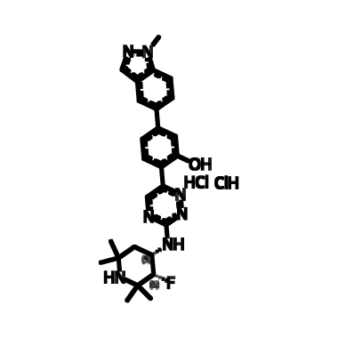 Cl.Cl.Cn1ncc2cc(-c3ccc(-c4cnc(N[C@H]5CC(C)(C)NC(C)(C)[C@H]5F)nn4)c(O)c3)ccc21